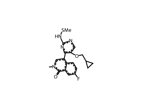 CSNc1ncc(OCC2CC2)c(-c2cn(C)c(=O)c3cc(F)ccc23)n1